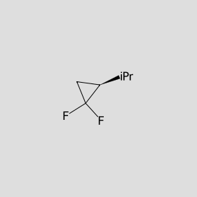 CC(C)[C@@H]1CC1(F)F